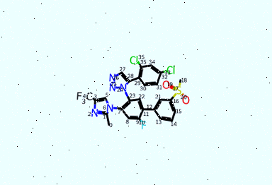 Cc1nc(C(F)(F)F)cn1-c1cc(F)c(-c2cccc(S(C)(=O)=O)c2)cc1-n1nncc1-c1ccc(Cl)cc1Cl